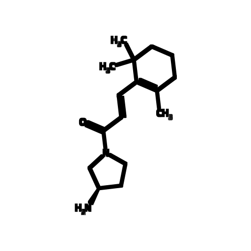 CC1=C(/C=C/C(=O)N2CC[C@@H](N)C2)C(C)(C)CCC1